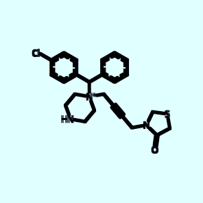 O=C1CSCN1CC#CC[N+]1(C(c2ccccc2)c2ccc(Cl)cc2)CCNCC1